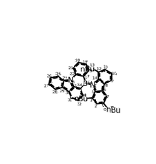 CCCCc1cc(CCCC)c2c(c1)c1cccc(CCCC)c1n2B1c2ccccc2-n2c3ccccc3c3cccc1c32